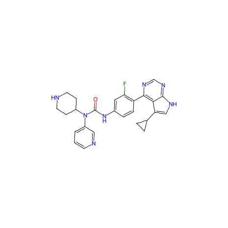 O=C(Nc1ccc(-c2ncnc3[nH]cc(C4CC4)c23)c(F)c1)N(c1cccnc1)C1CCNCC1